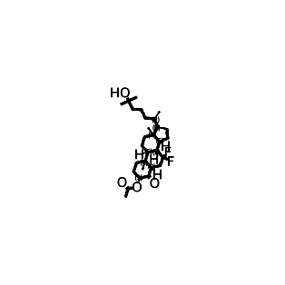 CC(=O)O[C@H]1CC[C@@]2(C)[C@@H](CC(F)(F)[C@@H]3[C@@H]2CC[C@]2(C)[C@@H]([C@H](C)CCCC(C)(C)O)CC[C@@H]32)C1=O